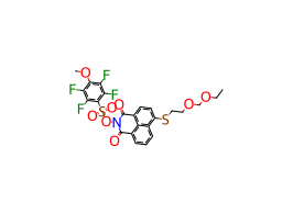 CCOCOCCSc1ccc2c3c(cccc13)C(=O)N(OS(=O)(=O)c1c(F)c(F)c(OC)c(F)c1F)C2=O